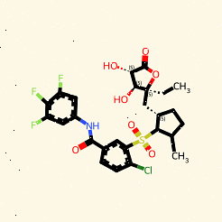 CC[C@@]1(C[C@@H]2CCC(C)C2S(=O)(=O)c2cc(C(=O)Nc3cc(F)c(F)c(F)c3)ccc2Cl)OC(=O)[C@@H](O)[C@@H]1O